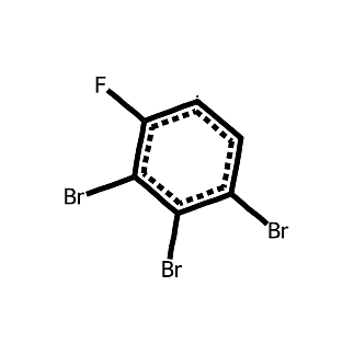 Fc1[c]cc(Br)c(Br)c1Br